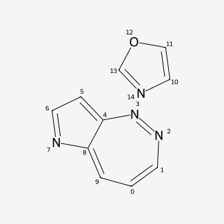 c1cnnc2ccnc-2c1.c1cocn1